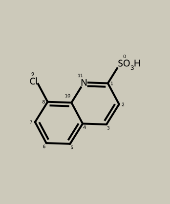 O=S(=O)(O)c1ccc2cccc(Cl)c2n1